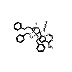 C[C@]1(OCc2ccccc2)[C@](N=[N+]=[N-])(c2ccc3c(N)ncnn23)O[C@@H]2C(OCc3ccccc3)[C@@]21OCc1ccccc1